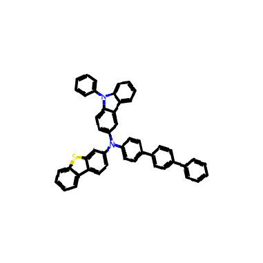 c1ccc(-c2ccc(-c3ccc(N(c4ccc5c(c4)sc4ccccc45)c4ccc5c(c4)c4ccccc4n5-c4ccccc4)cc3)cc2)cc1